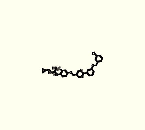 O=C(NCC1CC1)Nc1ccc(OCc2cnc(-c3cccc(OCc4cccc(Cl)c4)c3)nc2)cc1C(=O)O